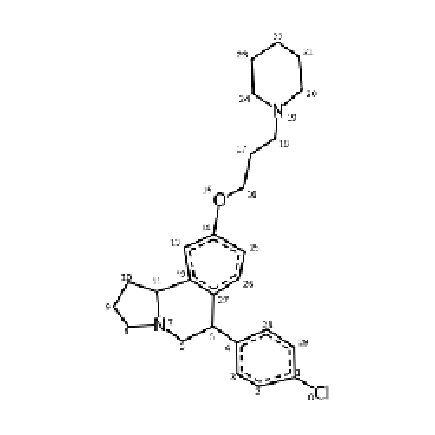 Clc1ccc(C2CN3CCCC3c3cc(OCCCN4CCCCC4)ccc32)cc1